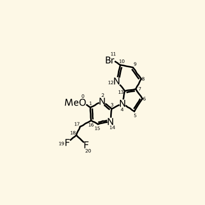 COc1nc(-n2ccc3ccc(Br)nc32)ncc1CC(F)F